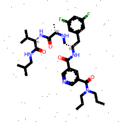 CCCN(CCC)C(=O)c1cncc(C(=O)N[C@H](CN[C@@H](C)C(=O)N[C@H](C(=O)NCC(C)C)C(C)C)Cc2cc(F)cc(F)c2)c1